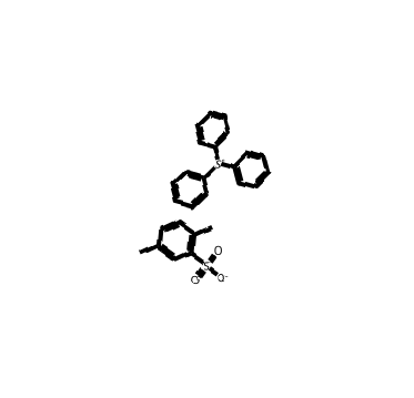 Cc1ccc(C)c(S(=O)(=O)[O-])c1.c1ccc([S+](c2ccccc2)c2ccccc2)cc1